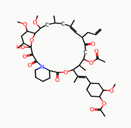 C=CCC1/C=C(\C)CC(C)CC(OC)C2OC(O)(C(=O)C(=O)N3CCCCC3C(=O)OC(C(C)=CC3CCC(OC(C)=O)C(OC)C3)C(C)C(OC(C)=O)CC1=O)C(C)CC2OC